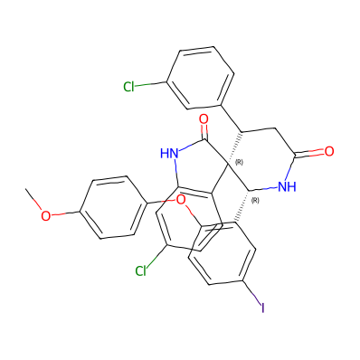 COc1ccc(Oc2ccc(I)cc2[C@H]2NC(=O)CC(c3cccc(Cl)c3)[C@]23C(=O)Nc2cc(Cl)ccc23)cc1